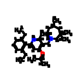 CCc1cccc(CC)c1-c1cc(OC(C)C)c(CN2CCC(C)CC(C)(C)C2)c(C)n1